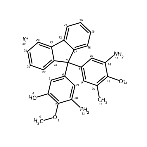 COc1c(O)cc(C2(c3cc(C)c([O-])c(N)c3)c3ccccc3-c3ccccc32)cc1P.[K+]